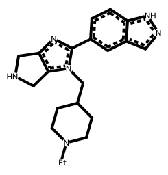 CCN1CCC(Cn2c(-c3ccc4[nH]ncc4c3)nc3c2CNC3)CC1